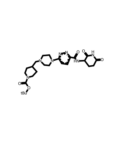 CC(C)(C)OC(=O)N1CCC(CN2CCN(c3ccc(C(=O)NC4CCC(=O)NC4=O)nn3)CC2)CC1